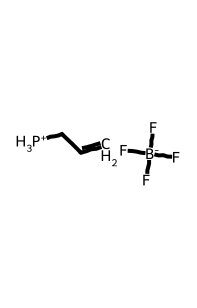 C=CC[PH3+].F[B-](F)(F)F